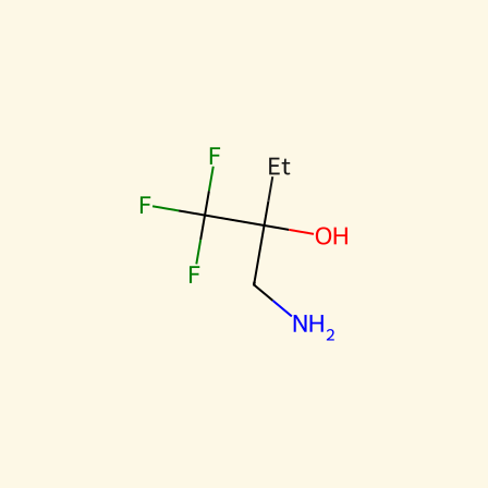 CCC(O)(CN)C(F)(F)F